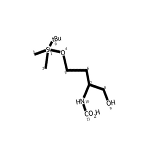 CC(C)(C)[Si](C)(C)OCCC(CO)NC(=O)O